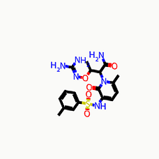 Cc1cccc(S(=O)(=O)Nc2ccc(C)n(C(C(N)=O)C(C)ON=C(N)N)c2=O)c1